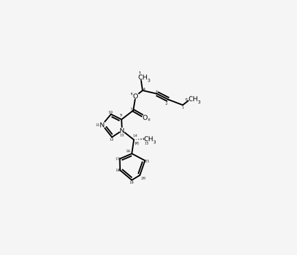 CCC#CC(C)OC(=O)c1cncn1[C@H](C)c1ccccc1